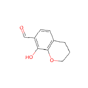 O=Cc1ccc2c(c1O)OCCC2